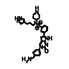 NCc1ccc(-n2cc3cc(-c4cccc(S(=O)(=O)N(CCCc5cn[nH]c5)C5CCNCC5)c4)[nH]c3nc2=O)cc1